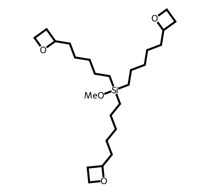 CO[Si](CCCCCC1CCO1)(CCCCCC1CCO1)CCCCCC1CCO1